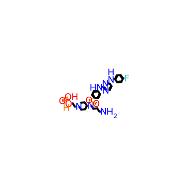 NCCCN(C1CCN(CCO[PH](=O)O)CC1)S(=O)(=O)c1ccc(Nc2nccc(Nc3ccc(F)cc3)n2)cc1